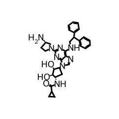 N[C@@H]1CCN(c2nc(NCC(c3ccccc3)c3ccccc3)c3ncn([C@@H]4C[C@H](NC(=O)C5CC5)[C@@H](O)[C@H]4O)c3n2)C1